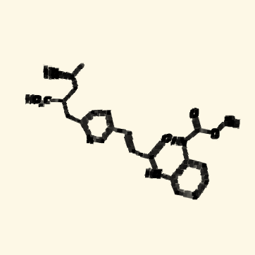 CC(=N)CC(Cc1ccc(C=CC(=O)Nc2ccccc2NC(=O)OC(C)(C)C)cn1)C(=O)O